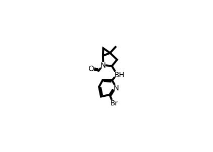 CC12CC(Bc3cccc(Br)n3)N(C=O)C1C2